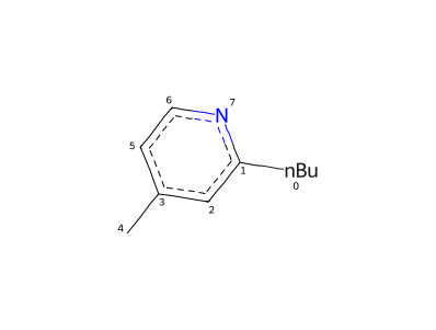 CCCCc1cc(C)ccn1